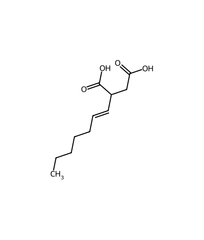 CCCCCC=CC(CC(=O)O)C(=O)O